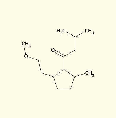 COCCC1CCC(C)C1C(=O)CC(C)C